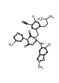 Cc1cncc(-n2c(=O)nc(Nc3cc4cn(C)nc4cc3Cl)n(Cc3cc(C#N)c(F)cc3CCC(C)C)c2=O)c1